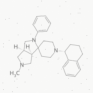 CN1C[C@H]2CN(c3ccccc3)C3(CCN([C@@H]4CCCc5ccccc54)CC3)[C@H]2C1